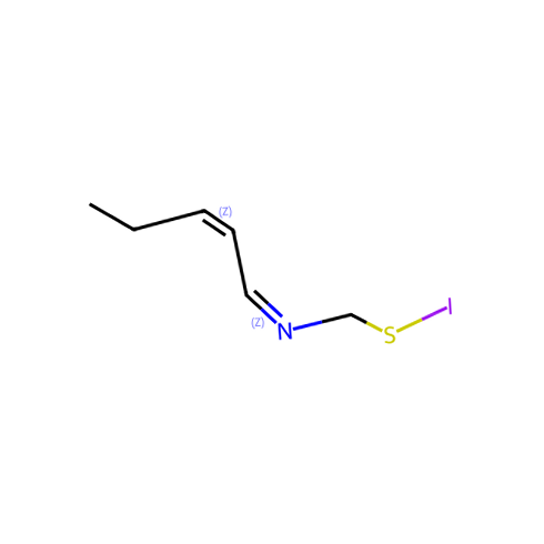 CC/C=C\C=N/CSI